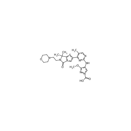 COc1nn(C(=O)O)cc1Nc1ncc(C)c(-c2cc3c(s2)C(C)(C)N(CCN2CCOCC2)C3=O)n1